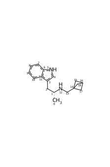 C[C@H](Cc1c[nH]c2ccccc12)NCC12CC(C1)C2